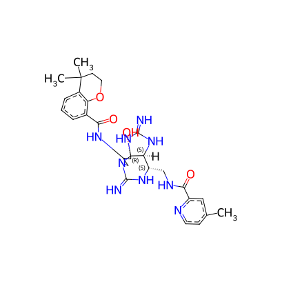 Cc1ccnc(C(=O)NC[C@@H]2NC(=N)N3CC(NC(=O)c4cccc5c4OCCC5(C)C)[C@@H](O)C34NC(=N)N[C@@H]24)c1